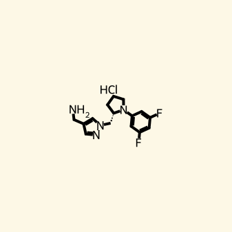 Cl.NCc1cnn(C[C@@H]2CCCN2c2cc(F)cc(F)c2)c1